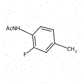 [CH2]C(=O)Nc1ccc(C)cc1F